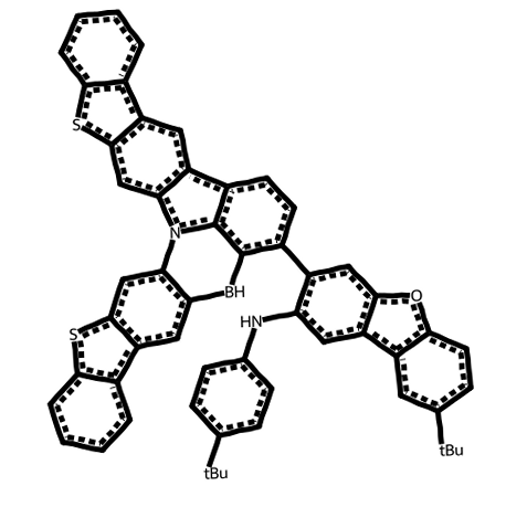 CC(C)(C)c1ccc(Nc2cc3c(cc2-c2ccc4c5cc6c(cc5n5c4c2Bc2cc4c(cc2-5)sc2ccccc24)sc2ccccc26)oc2ccc(C(C)(C)C)cc23)cc1